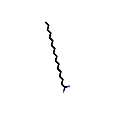 CCCCCCCCCCCCCCCCCC(I)I